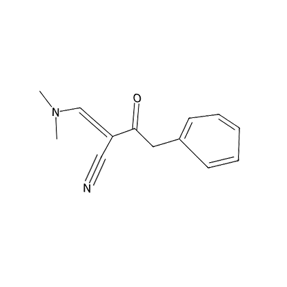 CN(C)C=C(C#N)C(=O)Cc1ccccc1